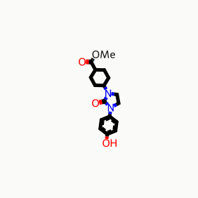 COC(=O)C1CCC(N2CCN(c3ccc(O)cc3)C2=O)CC1